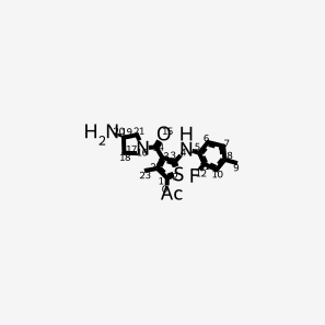 CC(=O)c1sc(Nc2ccc(C)cc2F)c(C(=O)N2CC[C@@H](N)C2)c1C